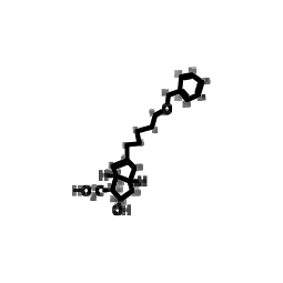 O=C(O)[C@H]1[C@@H]2C=C(CCCCCOCc3ccccc3)C[C@@H]2C[C@@H]1O